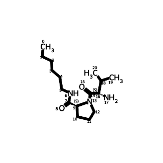 CCCCCCNC(=O)[C@@H]1CCCN1C(=O)[C@@H](N)C(C)C